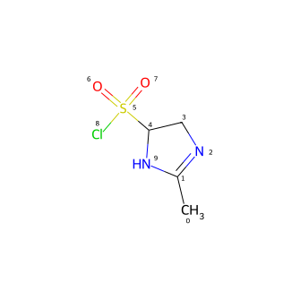 CC1=NCC(S(=O)(=O)Cl)N1